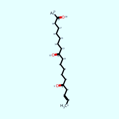 CC=CCC(=O)CCCCCC(=O)CCCCCCC(=O)C(C)=O